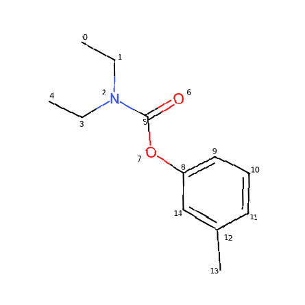 CCN(CC)C(=O)Oc1cccc(C)c1